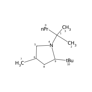 CCCC(C)(C)N1CC(C)CC1C(C)(C)C